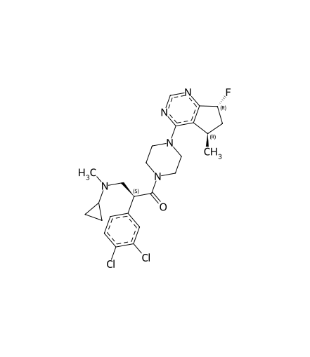 C[C@@H]1C[C@@H](F)c2ncnc(N3CCN(C(=O)[C@H](CN(C)C4CC4)c4ccc(Cl)c(Cl)c4)CC3)c21